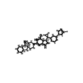 Cn1cc(-c2cccc(C3(c4n[nH]c5nc(N6CCC7(CC6)Cc6ccccc6[C@H]7N)[nH]c(=O)c45)CC3)c2)cn1